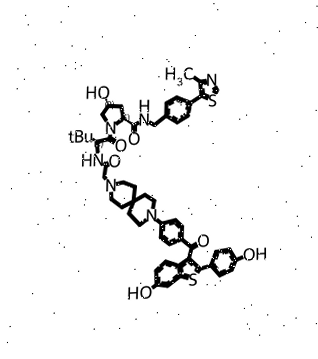 Cc1ncsc1-c1ccc(CNC(=O)[C@@H]2C[C@@H](O)CN2C(=O)[C@@H](NC(=O)CN2CCC3(CC2)CCN(c2ccc(C(=O)c4c(-c5ccc(O)cc5)sc5cc(O)ccc45)cc2)CC3)C(C)(C)C)cc1